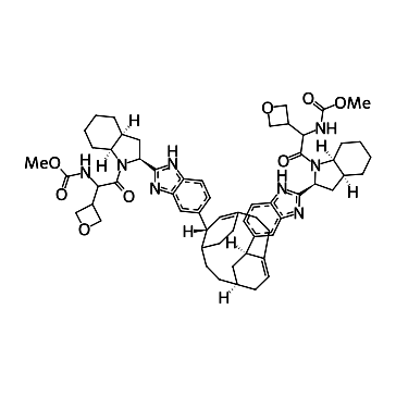 COC(=O)NC(C(=O)N1[C@H](c2nc3cc([C@@H]4C[C@H]5CC=C4CCC4=C[C@@H](c6ccc7[nH]c([C@@H]8C[C@@H]9CCCC[C@@H]9N8C(=O)C(NC(=O)OC)C8COC8)nc7c6)C(CC4)CC5)ccc3[nH]2)C[C@@H]2CCCC[C@@H]21)C1COC1